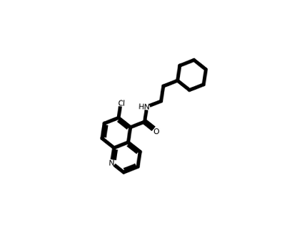 O=C(NCCC1CCCCC1)c1c(Cl)ccc2ncccc12